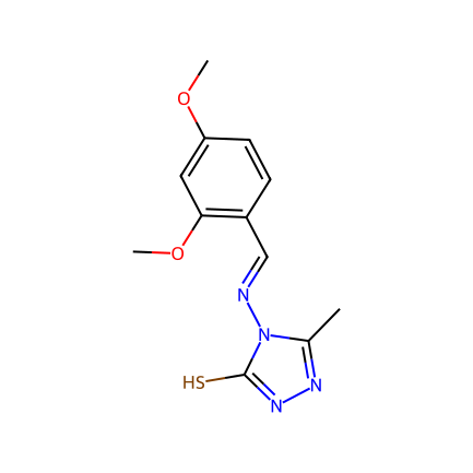 COc1ccc(C=Nn2c(C)nnc2S)c(OC)c1